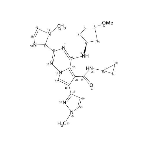 CO[C@H]1CC[C@H](Nc2nc(-c3nccn3C)nn3cc(-c4ccn(C)n4)c(C(=O)NC4CC4)c23)C1